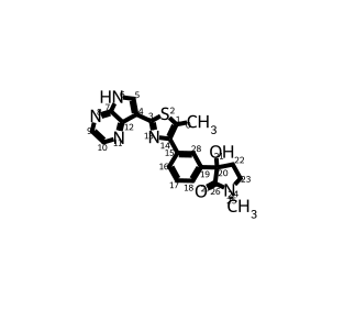 Cc1sc(-c2c[nH]c3nccnc23)nc1-c1cccc(C2(O)CCN(C)C2=O)c1